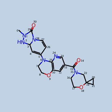 CN1NC2C=C(N3CCOc4cc(C(=O)N5CCOC6(CC6)C5)cnc43)C=CN2C1=O